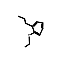 CCCc1cc[c]cc1OCC